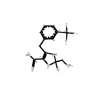 CCC1(Cl)NC(Cc2cccc(C(F)(F)F)c2)=C(C(=O)O)O1